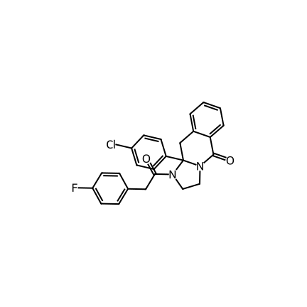 O=C(Cc1ccc(F)cc1)N1CCN2C(=O)c3ccccc3CC12c1ccc(Cl)cc1